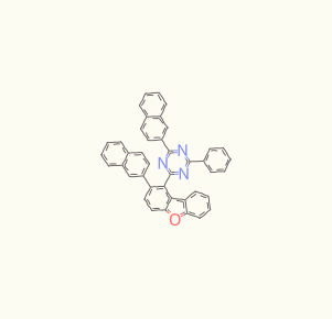 c1ccc(-c2nc(-c3ccc4ccccc4c3)nc(-c3c(-c4ccc5ccccc5c4)ccc4oc5ccccc5c34)n2)cc1